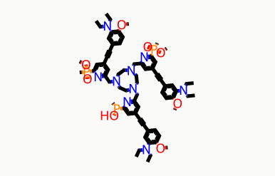 CCN(CC)c1cc(C#Cc2cc(CN3CCN(Cc4cc(C#Cc5ccc(OC)c(N(CC)CC)c5)cc(P(C)(=O)OC)n4)CCN(Cc4cc(C#Cc5ccc(OC)c(N(CC)CC)c5)cc(P(C)(=O)OC)n4)CC3)nc(P(C)O)c2)ccc1OC